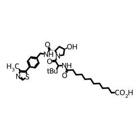 Cc1ncsc1-c1ccc(CNC(=O)[C@@H]2C[C@@H](O)CN2C(=O)C(NC(=O)CCCCCCCCCCC(=O)O)C(C)(C)C)cc1